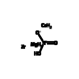 O=[N+]([O-])O.[CaH2].[MgH2].[Zr]